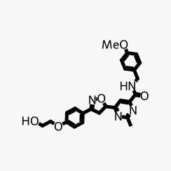 COc1ccc(CNC(=O)c2cc(C3CC(c4ccc(OCCO)cc4)=NO3)nc(C)n2)cc1